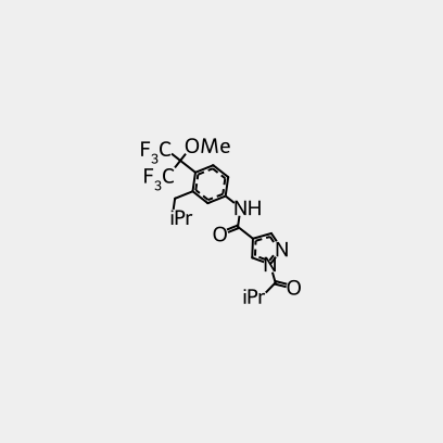 COC(c1ccc(NC(=O)c2cnn(C(=O)C(C)C)c2)cc1CC(C)C)(C(F)(F)F)C(F)(F)F